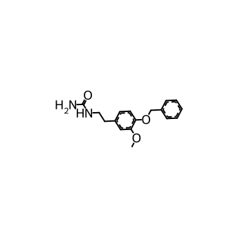 COc1cc(CCNC(N)=O)ccc1OCc1ccccc1